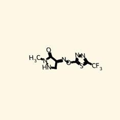 CN1NCC(=NOc2nnc(C(F)(F)F)s2)C1=O